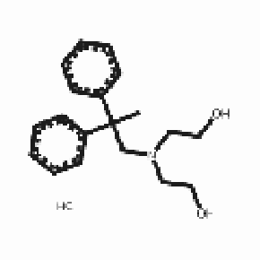 CC(CN(CCO)CCO)(c1ccccc1)c1ccccc1.Cl